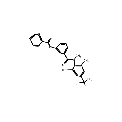 Cc1cc(C(F)(C(F)(F)F)C(F)(F)F)cc(C)c1N(C)C(=O)c1cccc(NC(=O)c2ccccc2)c1